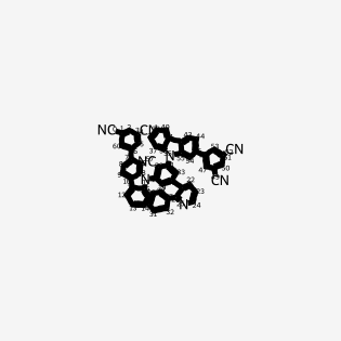 N#Cc1cc(C#N)cc(-c2ccc3c4ccccc4n(-c4cc(-c5cccnc5-c5ccccc5)cc(-n5c6ccccc6c6ccc(-c7cc(C#N)cc(C#N)c7)cc65)c4C#N)c3c2)c1